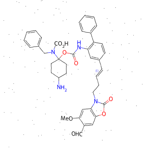 COc1cc2c(cc1C=O)oc(=O)n2CC/C=C/c1ccc(-c2ccccc2)c(NC(=O)OC2(N(Cc3ccccc3)C(=O)O)CCC(N)CC2)c1